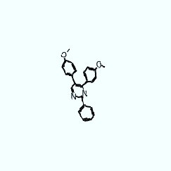 COc1ccc(-c2cnc(-c3ccccc3)nc2-c2ccc(OC)cc2)cc1